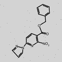 O=C(OCc1ccccc1)c1ccc(-n2cccn2)nc1[N+](=O)[O-]